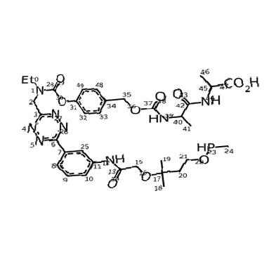 CCN(Cc1nnc(-c2cccc(NC(=O)COC(C)(C)CCOPC)c2)nn1)C(=O)Oc1ccc(COC(=O)NC(C)C(=O)NC(C)C(=O)O)cc1